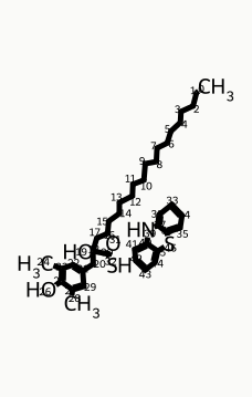 CCCCCCCCCCCCCCCCCCC(O)(Cc1cc(C)c(O)c(C)c1)C(=O)S.c1ccc2c(c1)Nc1ccccc1S2